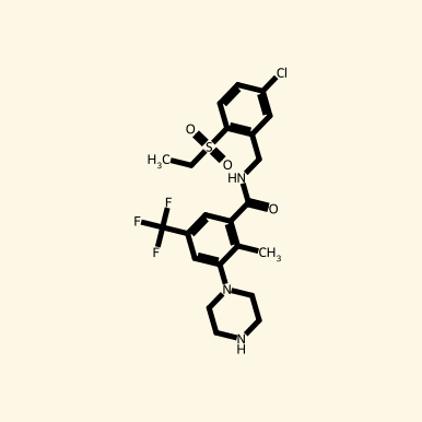 CCS(=O)(=O)c1ccc(Cl)cc1CNC(=O)c1cc(C(F)(F)F)cc(N2CCNCC2)c1C